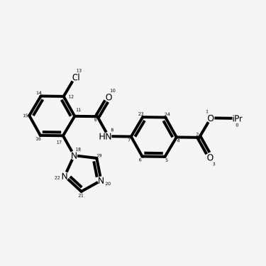 CC(C)OC(=O)c1ccc(NC(=O)c2c(Cl)cccc2-n2cncn2)cc1